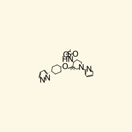 CS(=O)(=O)NC1CCN(c2ccccn2)C[C@H]1CO[C@H]1CC[C@@H](c2cccnn2)CC1